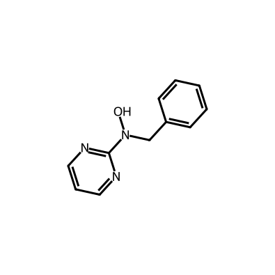 ON(Cc1ccccc1)c1ncccn1